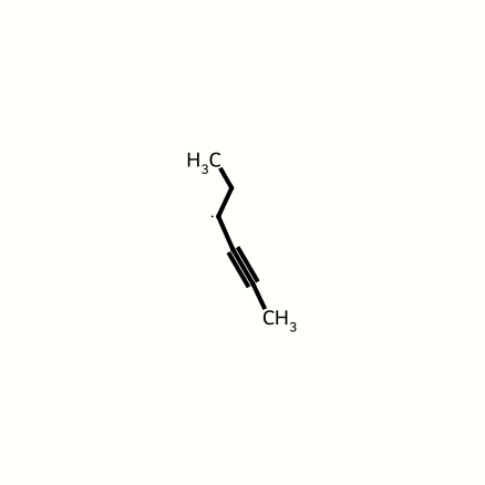 CC#C[CH]CC